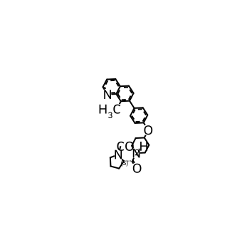 Cc1c(-c2ccc(OC3CCN(C(=O)[C@@H]4CCCN4C(=O)O)CC3)cc2)ccc2cccnc12